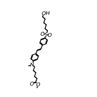 COC(=O)CCCCCN(C)c1ccc(C=Cc2ccc(S(=O)(=O)CCCCCCO)cc2)cc1